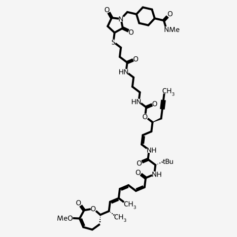 CC#CC[C@@H](C/C=C\NC(=O)[C@@H](NC(=O)\C=C/C=C\C(C)=C\[C@H](C)[C@@H]1CCC=C(OC)C(=O)O1)C(C)(C)C)OC(=O)NCCCNC(=O)CCSC1CC(=O)N(CC2CCC(C(=O)NC)CC2)C1=O